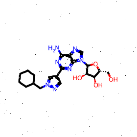 Nc1nc(-c2cnn(CC3CCCCC3)c2)nc2c1ncn2C1O[C@H](CO)[C@@H](O)[C@H]1O